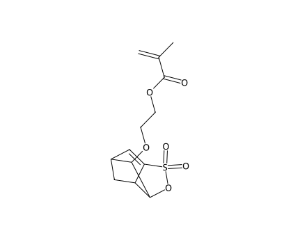 C=C(C)C(=O)OCCOC1C2C=C3C(C2)C1OS3(=O)=O